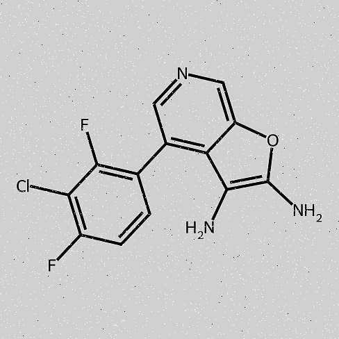 Nc1oc2cncc(-c3ccc(F)c(Cl)c3F)c2c1N